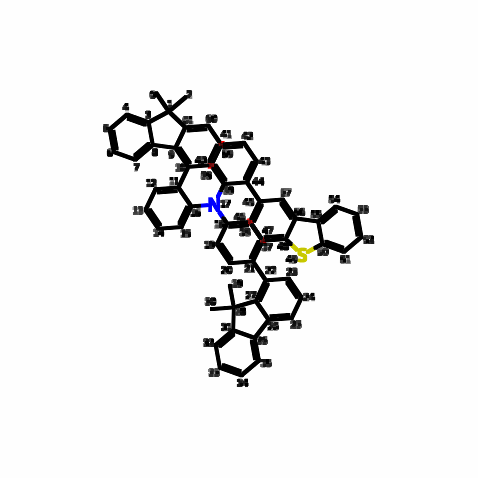 CC1(C)c2ccccc2-c2c(-c3ccccc3N(c3ccc(-c4cccc5c4C(C)(C)c4ccccc4-5)cc3)c3ccccc3-c3ccc4sc5ccccc5c4c3)cccc21